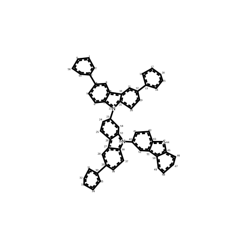 c1ccc(-c2ccc3c(c2)c2cc(-c4ccccc4)ccc2n3-c2ccc3c4cc(-c5ccccc5)ccc4n(-c4ccc5sc6ccccc6c5c4)c3c2)cc1